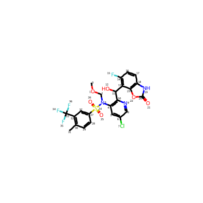 COCN(c1cc(Cl)cnc1C(O)c1c(F)ccc2[nH]c(=O)oc12)S(=O)(=O)c1ccc(C)c(C(F)(F)F)c1